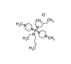 CCCCN(CC)[P+](N(CC)CCCC)(N1CCN(C)CC1)N1CCN(C)CC1.[Cl-]